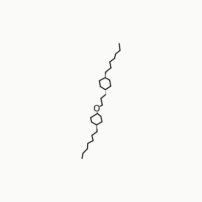 CCCCCCC[C@H]1CC[C@H](CCCO[C@H]2CC[C@H](CCCCCCC)CC2)CC1